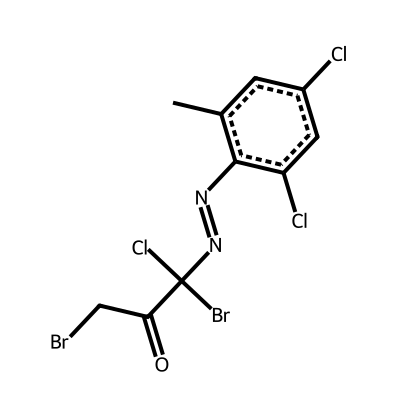 Cc1cc(Cl)cc(Cl)c1N=NC(Cl)(Br)C(=O)CBr